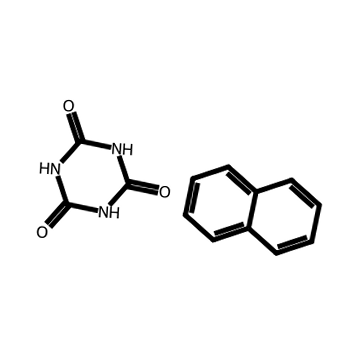 O=c1[nH]c(=O)[nH]c(=O)[nH]1.c1ccc2ccccc2c1